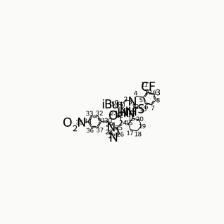 CC[C@H](C)[C@@H](CN(Cc1ccccc1C(F)(F)F)C(=S)NC1CCCCC1)NC(=O)Cc1cncn1Cc1ccc([N+](=O)[O-])cc1